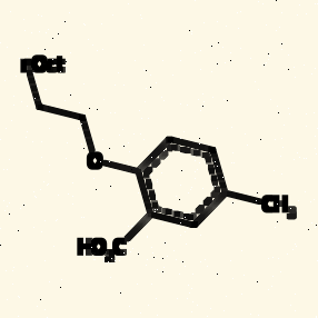 CCCCCCCCCCOc1ccc(C)cc1C(=O)O